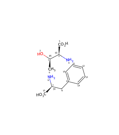 C[C@@H](O)[C@H](N)C(=O)O.N[C@@H](Cc1ccccc1)C(=O)O